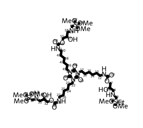 CC[Si](CNCC(O)COC(=O)NCCCCCCn1c(=O)n(CCCCCCNC(=O)OCC(O)CNC[Si](OC)(OC)OC)c(=O)n(CCCCCCNC(=O)OCC(O)CNC[Si](OC)(OC)OC)c1=O)(OC)OC